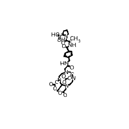 C[C@@H](NC(=O)c1ccc(CNC(=O)CN2CCN3CCN4CCN(CC2)CC(=O)OC(OC(=O)C3)OC(=O)C4)cc1)C(=O)N1CCC[C@H]1B(O)O